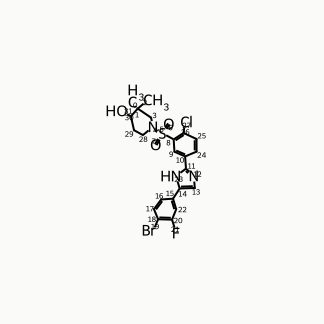 CC1(C)CN(S(=O)(=O)c2cc(-c3ncc(-c4ccc(Br)c(F)c4)[nH]3)ccc2Cl)CCC1O